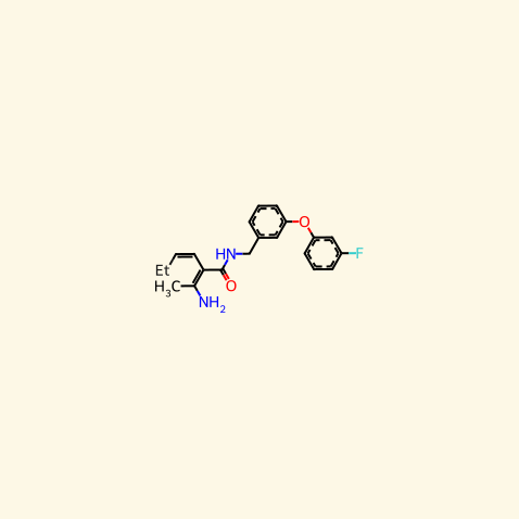 CC/C=C\C(C(=O)NCc1cccc(Oc2cccc(F)c2)c1)=C(/C)N